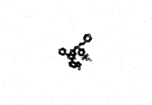 CS(=O)(=O)N1CCC(N(CCN2CCOCC2)CC2Cc3nc(-c4cccc5[nH]ncc45)nc(N4CCOCC4)c3S2)CC1